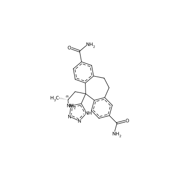 C[C@@H](N)CC1(c2nnn[nH]2)c2ccc(C(N)=O)cc2CCc2cc(C(N)=O)ccc21